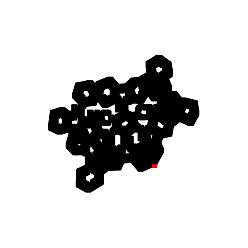 N#Cc1c(-n2c3ccccc3c3cc4c5ccccc5n(-c5ccccc5)c4cc32)c(C#N)c(-n2c3ccccc3c3cc4c5ccccc5n(-c5ccccc5)c4cc32)c(-n2c3ccccc3c3cc4c5ccccc5n(-c5ccccc5)c4cc32)c1-n1c2ccccc2c2cc3c4ccccc4n(-c4ccccc4)c3cc21